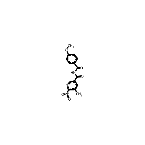 COc1ccc(C(=O)NC(=O)c2cnc([N+](=O)[O-])c(C)c2)cc1